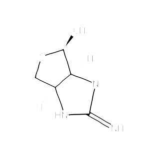 C[C@@H]1SC[C@@H]2NC(=N)N[C@@H]21